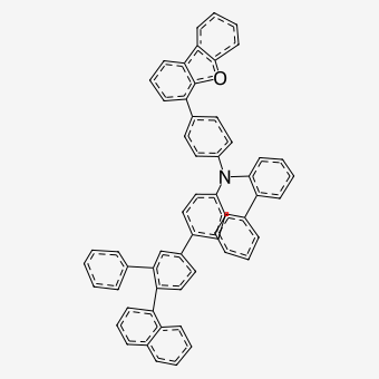 c1ccc(-c2cc(-c3ccc(N(c4ccc(-c5cccc6c5oc5ccccc56)cc4)c4ccccc4-c4ccccc4)cc3)ccc2-c2cccc3ccccc23)cc1